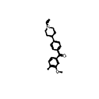 C=CN1CCC(c2ccc(C(=O)c3ccc(C)c(OC)c3)cc2)CC1